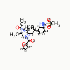 C=C(/C=C1\C(=C)N(C(C)=O)C(C)CN1C(=O)c1ccco1)c1cccc(NS(C)(=O)=O)c1